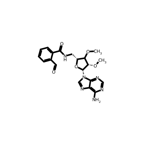 COC1[C@@H](CNC(=O)c2ccccc2C=O)O[C@@H](n2cnc3c(N)ncnc32)[C@H]1OC